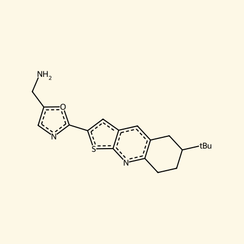 CC(C)(C)C1CCc2nc3sc(-c4ncc(CN)o4)cc3cc2C1